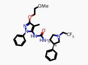 COCCOc1nn(-c2ccccc2)c(NC(=O)N[C@@H]2CN(CC(F)(F)F)C[C@H]2c2ccccc2)c1C